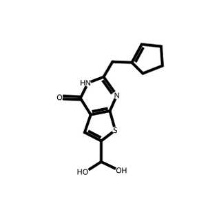 O=c1[nH]c(CC2=CCCC2)nc2sc(C(O)O)cc12